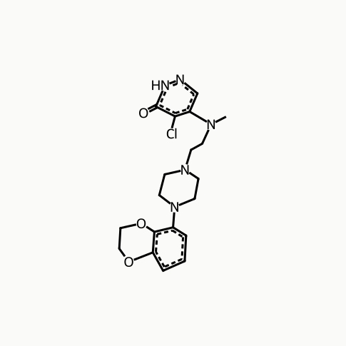 CN(CCN1CCN(c2cccc3c2OCCO3)CC1)c1cn[nH]c(=O)c1Cl